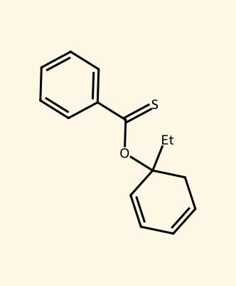 CCC1(OC(=S)c2ccccc2)C=CC=CC1